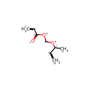 C=CC(=O)OCOC(C)C=C